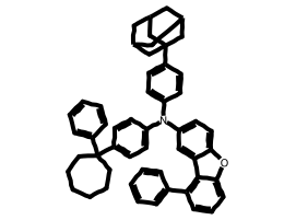 c1ccc(-c2cccc3oc4ccc(N(c5ccc(C67CC8CC(CC(C8)C6)C7)cc5)c5ccc(C6(c7ccccc7)CCCCCC6)cc5)cc4c23)cc1